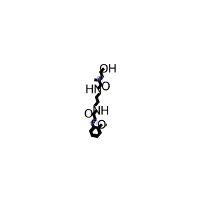 COc1ccccc1/C=C/C(=O)NCCCCNC(=O)/C(C)=C/CO